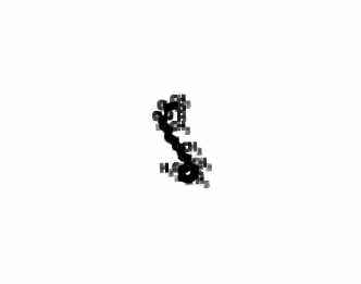 CC1=C(/C=C/C(C)=C/C=C/C(C)=C/C(=O)OC(=O)C(C)O)C(C)(C)CCC1